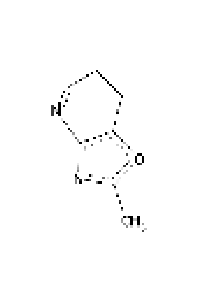 Cc1nc2c(o1)CCC=N2